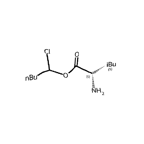 CCCCC(Cl)OC(=O)[C@@H](N)[C@@H](C)CC